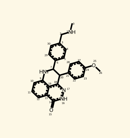 CNCc1ccc(C2Nc3cccc4c(=O)[nH]nc(c34)C2c2ccc(OC)cc2)cc1